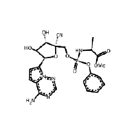 COC(=O)[C@H](C)N[P@@](=O)(OC[C@@]1(C#N)O[C@@H](c2ccc3c(N)ncnn23)[C@@H](O)[C@@H]1O)Oc1ccccc1